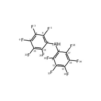 Fc1c(F)c(F)[c]([AlH][c]2c(F)c(F)c(F)c(F)c2F)c(F)c1F